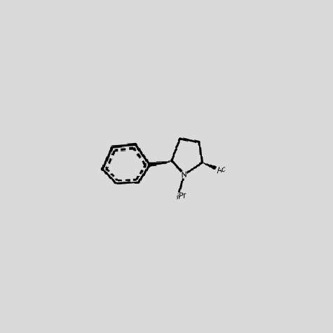 CC(=O)[C@@H]1CC[C@H](c2ccccc2)N1C(C)C